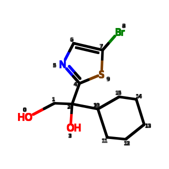 OCC(O)(c1ncc(Br)s1)C1CCCCC1